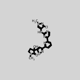 CN1CCC(O)(c2cc(-c3cccc(-c4ccnc(Nc5cn(C)nc5Cl)n4)n3)no2)C1=O